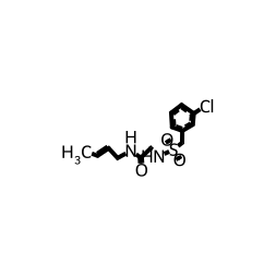 CC=CCNC(=O)CNS(=O)(=O)Cc1cccc(Cl)c1